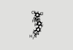 Nc1ncc2cc(-c3c(F)ccc(NS(=O)(=O)c4cc(Cl)cc(Cl)c4)c3F)ccc2n1